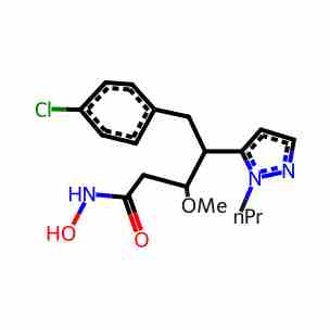 CCCn1nccc1C(Cc1ccc(Cl)cc1)C(CC(=O)NO)OC